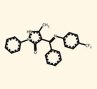 Cc1[nH]n(-c2ccccc2)c(=O)c1C(=Nc1ccc(C(F)(F)F)cc1)c1ccccc1